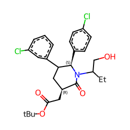 CCC(CO)N1C(=O)[C@@H](CC(=O)OC(C)(C)C)CC(c2cccc(Cl)c2)[C@H]1c1ccc(Cl)cc1